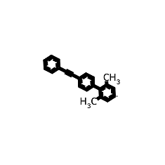 Cc1c[c]cc(C)c1-c1ccc(C#Cc2ccccc2)cc1